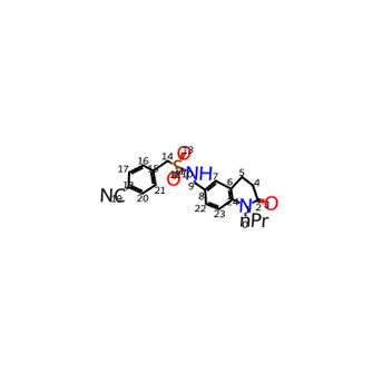 CCCN1C(=O)CCc2cc(CNS(=O)(=O)Cc3ccc(C#N)cc3)ccc21